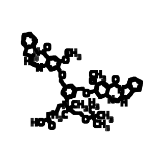 COC1=C(OCc2cc(COc3cc4c(cc3OC)C(=O)N3c5ccccc5C[C@H]3C=N4)cc(N(CCCC(=O)O)C(C)(C)CCOC(C)(C)C)c2)CC2N=C[C@@H]3Cc4ccccc4N3C(=O)C2=C1